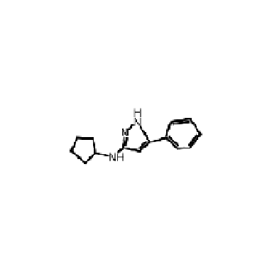 c1ccc(-c2cc(NC3CCCC3)n[nH]2)cc1